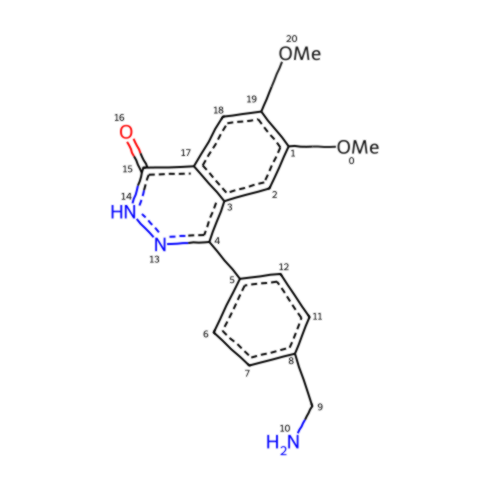 COc1cc2c(-c3ccc(CN)cc3)n[nH]c(=O)c2cc1OC